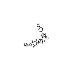 CCn1nc(-c2ccc(Cl)cc2)cc1C(=O)NNc1cnc(OC)c(F)c1